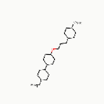 CCCCCCCC1CCC(C2CCC(OCCCC3CCC(CCCCC)CC3)CC2)CC1